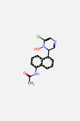 CC(=O)Nc1cccc2c(C3C=NC=C(Cl)N3O)cccc12